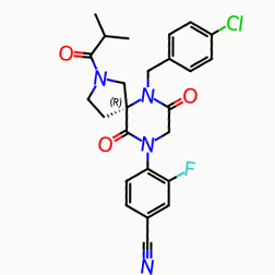 CC(C)C(=O)N1CC[C@@]2(C1)C(=O)N(c1ccc(C#N)cc1F)CC(=O)N2Cc1ccc(Cl)cc1